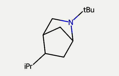 CC(C)C1CC2CC1CN2C(C)(C)C